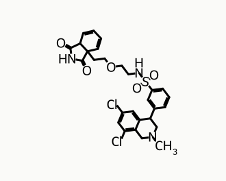 CN1Cc2c(Cl)cc(Cl)cc2C(c2cccc(S(=O)(=O)NCCOCCC34C=CC=CC3C(=O)NC4=O)c2)C1